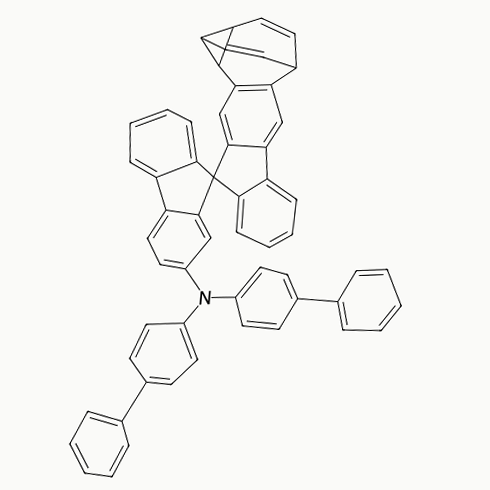 C1=CC2C3C=CC1c1cc4c(cc1C23)C1(c2ccccc2-c2ccc(N(c3ccc(-c5ccccc5)cc3)c3ccc(-c5ccccc5)cc3)cc21)c1ccccc1-4